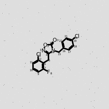 O=c1onc(Cc2c(F)cccc2Cl)n1Cc1ccc(Cl)cc1